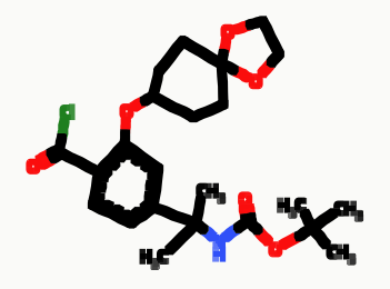 CC(C)(C)OC(=O)NC(C)(C)c1ccc(C(=O)Cl)c(OC2CCC3(CC2)OCCO3)c1